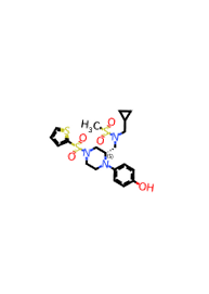 CS(=O)(=O)N(CC1CC1)C[C@H]1CN(S(=O)(=O)c2cccs2)CCN1c1ccc(O)cc1